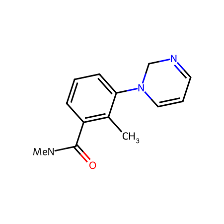 CNC(=O)c1cccc(N2C=CC=NC2)c1C